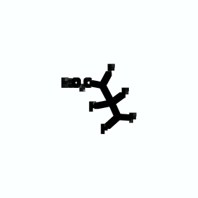 CCOC(=O)C(F)C(F)(F)C(F)F